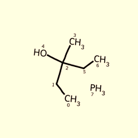 CCC(C)(O)CC.P